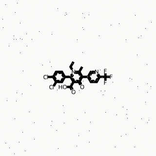 CCn1c(C)c(-c2ccc(C(F)(F)F)nc2)c(=O)c(C(=O)O)c1-c1ccc(Cl)c(Cl)c1